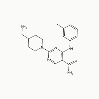 Cc1cccc(Nc2nc(N3CCC(CN)CC3)ncc2C(N)=O)c1